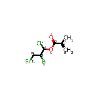 C=C(C)C(=O)OC(Cl)C(Br)CBr